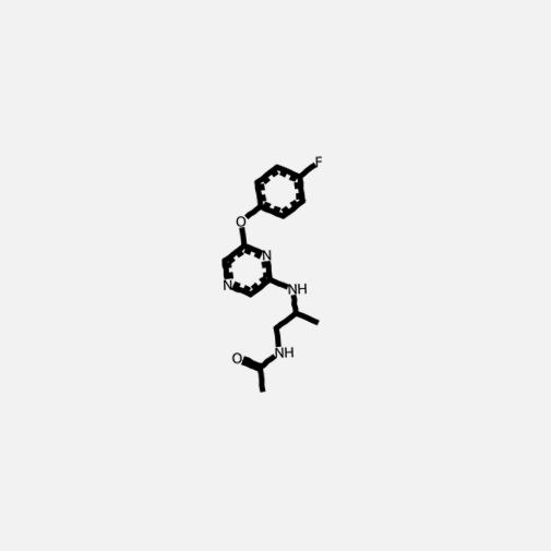 CC(=O)NCC(C)Nc1cncc(Oc2ccc(F)cc2)n1